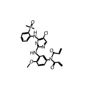 C=CC(=O)N(C(=O)C=C)c1ccc(OC)c(Nc2ncc(Cl)c(Nc3ccccc3P(C)(C)=O)n2)c1